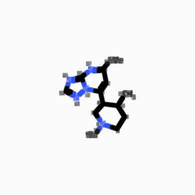 CSc1cc(C2CN(C(C)(C)C)CCC2C)n2ncnc2n1